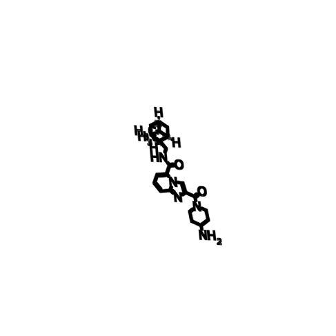 CC1(C)[C@H]2CC[C@@H](CNC(=O)c3cccc4nc(C(=O)N5CCC(N)CC5)cn34)[C@@H]1C2